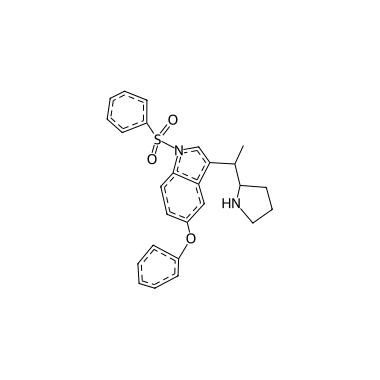 CC(c1cn(S(=O)(=O)c2ccccc2)c2ccc(Oc3ccccc3)cc12)C1CCCN1